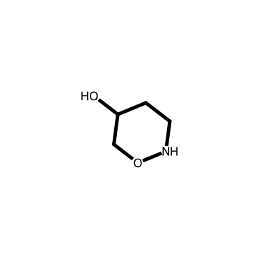 OC1CCNOC1